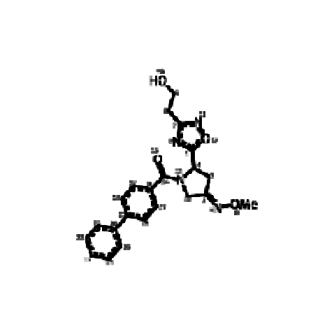 CO/N=C1\CC(c2nc(CCO)no2)N(C(=O)c2ccc(-c3ccccc3)cc2)C1